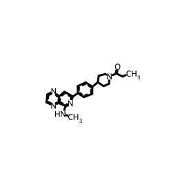 CCC(=O)N1CCC(c2ccc(-c3cc4nccnc4c(NC)n3)cc2)CC1